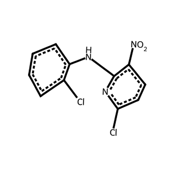 O=[N+]([O-])c1ccc(Cl)nc1Nc1ccccc1Cl